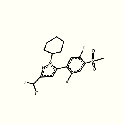 CS(=O)(=O)c1cc(F)c(-c2cc(C(F)F)nn2C2CCCCC2)cc1F